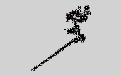 COCCOCCOCCOCCOCCOCCOCCOCCOCCOCCOCCOc1ccc(CC(C(=O)NCCCCc2ccc(COC(=O)N(CCOC34CC5(C)CC(C)(CC(Cn6ncc(-c7ccc(-c8ccc9cccc(C(=O)Nc%10nc%11ccccc%11s%10)c9c8)nc7C(=O)O)c6C)(C5)C3)C4)CCS(=O)(=O)O)c(O[C@@H]3OC(C(=O)O)[C@@H](O)[C@H](O)[C@H]3O)c2)N2C(=O)C=CC2=O)cc1